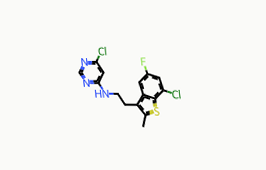 Cc1sc2c(Cl)cc(F)cc2c1CCNc1cc(Cl)ncn1